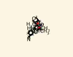 Cc1c(OC2C3COCC2CN(C(=O)OC(C)(C)C)C3)ccnc1Nc1ccc(C#N)cc1Cl